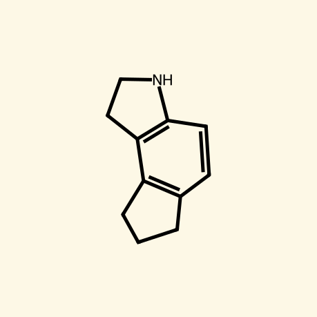 c1cc2c(c3c1CCC3)CCN2